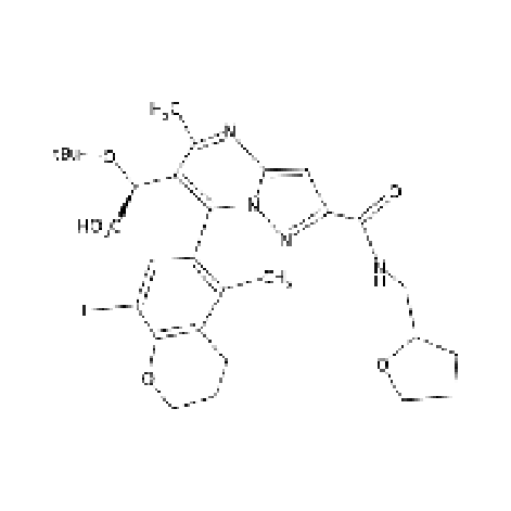 Cc1nc2cc(C(=O)NCC3CCCO3)nn2c(-c2cc(F)c3c(c2C)CCCO3)c1[C@H](OC(C)(C)C)C(=O)O